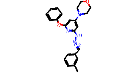 Cc1cccc(/C=N/Nc2cc(N3CCOCC3)cc(Oc3ccccc3)n2)c1